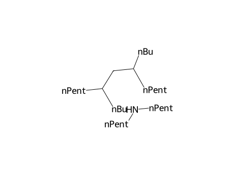 CCCCCC(CCCC)CC(CCCC)CCCCC.CCCCCNCCCCC